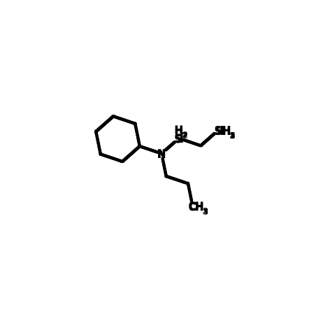 CCCN([SiH2]C[SiH3])C1CCCCC1